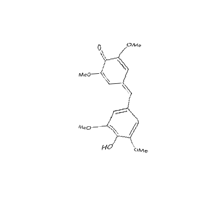 COC1=CC(=Cc2cc(OC)c(O)c(OC)c2)C=C(OC)C1=O